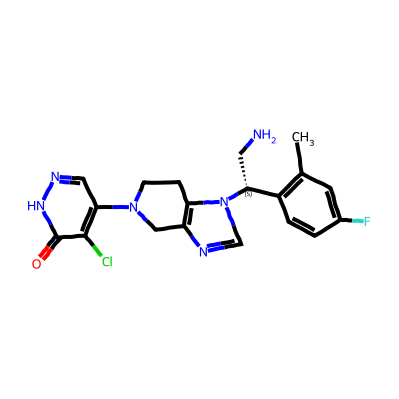 Cc1cc(F)ccc1[C@@H](CN)n1cnc2c1CCN(c1cn[nH]c(=O)c1Cl)C2